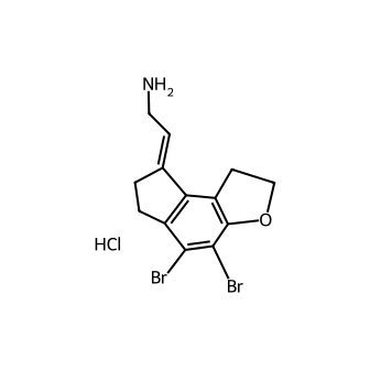 Cl.NCC=C1CCc2c(Br)c(Br)c3c(c21)CCO3